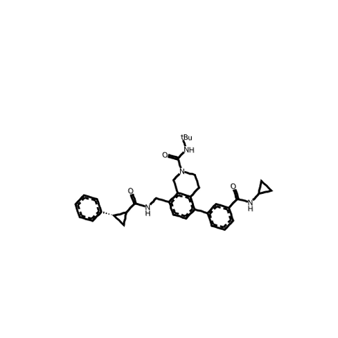 CC(C)(C)NC(=O)N1CCc2c(-c3cccc(C(=O)NC4CC4)c3)ccc(CNC(=O)C3C[C@@H]3c3ccccc3)c2C1